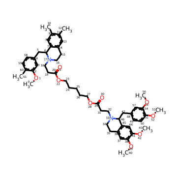 COc1cc(CC2c3cc(C)c(C)cc3CCN2CCC(=O)OCCCCCOC(=O)CCN2CCc3cc(OC)c(OC)cc3C2Cc2ccc(OC)c(OC)c2)ccc1C